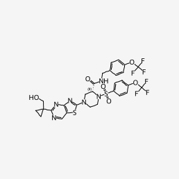 O=C(NCc1ccc(OC(F)(F)F)cc1)[C@H]1CN(c2nc3nc(C4(CO)CC4)ncc3s2)CCN1S(=O)(=O)c1ccc(OC(F)(F)F)cc1